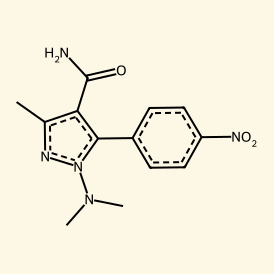 Cc1nn(N(C)C)c(-c2ccc([N+](=O)[O-])cc2)c1C(N)=O